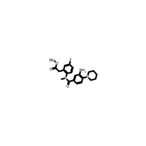 CN(C(=O)c1ccc(N2CCCCC2)c(N)c1)c1ccc(F)cc1CC(=O)OC(C)(C)C